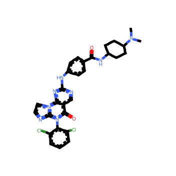 CN(C)C1CCC(NC(=O)c2ccc(Nc3ncc4c(=O)n(-c5c(Cl)cccc5Cl)c5nccn5c4n3)cc2)CC1